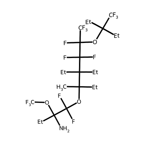 CCC(C)(OC(F)(F)C(N)(CC)OC(F)(F)F)C(CC)(CC)C(F)(F)C(F)(OC(CC)(CC)C(F)(F)F)C(F)(F)F